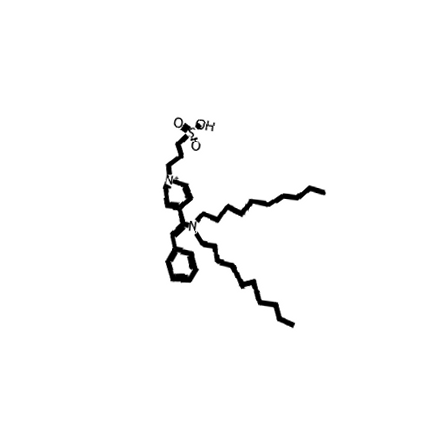 CCCCCCCCCCN(CCCCCCCCCC)C(=Cc1ccccc1)c1cc[n+](CCCS(=O)(=O)O)cc1